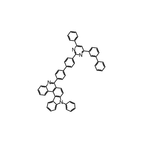 c1ccc(-c2cccc(-c3cc(-c4ccccc4)nc(-c4ccc(-c5ccc(-c6nc7ccccc7c7c6ccc6c7c7ccccc7n6-c6ccccc6)cc5)cc4)n3)c2)cc1